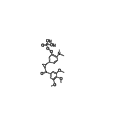 COc1cc(C(=O)C2CC2c2ccc(N(C)C)c(OOP(=O)(O)O)c2)cc(OC)c1OC